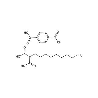 CCCCCCCCCC(C(=O)O)C(=O)O.O=C(O)c1ccc(C(=O)O)cc1